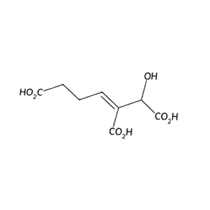 O=C(O)CC/C=C(\C(=O)O)C(O)C(=O)O